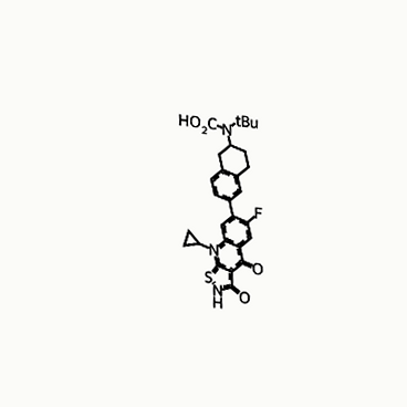 CC(C)(C)N(C(=O)O)C1CCc2cc(-c3cc4c(cc3F)c(=O)c3c(=O)[nH]sc3n4C3CC3)ccc2C1